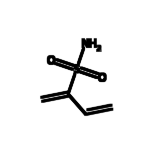 C=CC(=C)S(N)(=O)=O